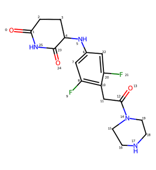 O=C1CCC(Nc2cc(F)c(CC(=O)N3CCNCC3)c(F)c2)C(=O)N1